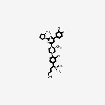 C[C@@H]1CN(c2ncc(C(CCCO)N(C)C)cc2Cl)CCN1c1cc(-c2ccc(F)c(Cl)c2)nc(N2CCC[C@H]2C)n1